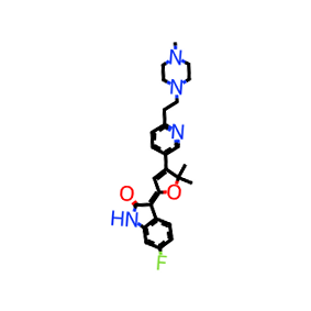 CN1CCN(CCc2ccc(C3=C/C(=C4\C(=O)Nc5cc(F)ccc54)OC3(C)C)cn2)CC1